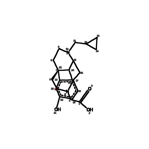 O=C(O)CN1CC[C@]23CCN(CC4CC4)C(Cc4ccc(O)cc42)C3C1